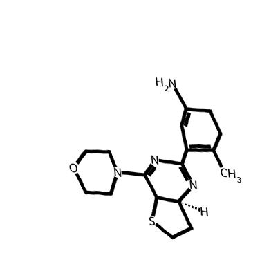 CC1=C(C2=N[C@H]3CCSC3C(N3CCOCC3)=N2)C=C(N)CC1